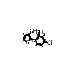 Cc1cc(Cl)ccc1-c1sccc1C